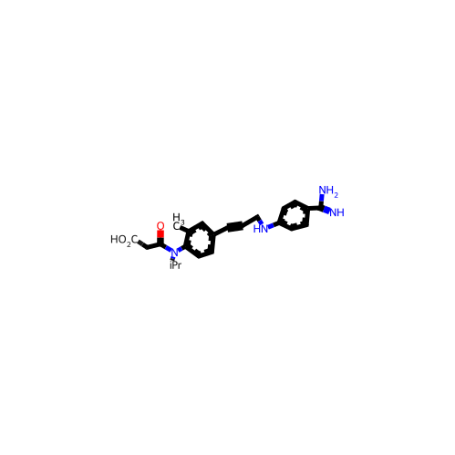 Cc1cc(C#CCNc2ccc(C(=N)N)cc2)ccc1N(C(=O)CC(=O)O)C(C)C